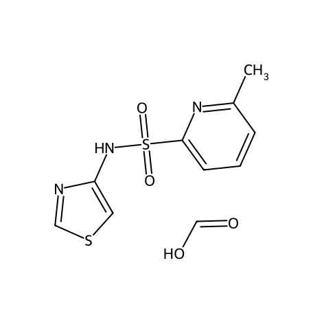 Cc1cccc(S(=O)(=O)Nc2cscn2)n1.O=CO